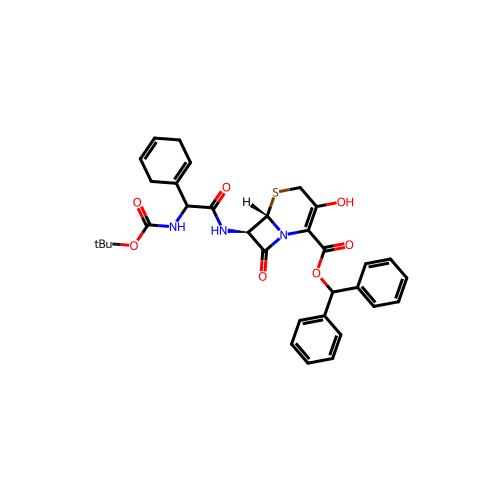 CC(C)(C)OC(=O)NC(C(=O)N[C@@H]1C(=O)N2C(C(=O)OC(c3ccccc3)c3ccccc3)=C(O)CS[C@@H]12)C1=CCC=CC1